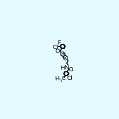 Cc1ccc(C(=O)NCCCN2CC3CN(C(=O)c4cccc(F)c4Cl)CC3C2)cc1Cl